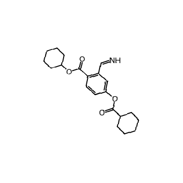 N=Cc1cc(OC(=O)C2CCCCC2)ccc1C(=O)OC1CCCCC1